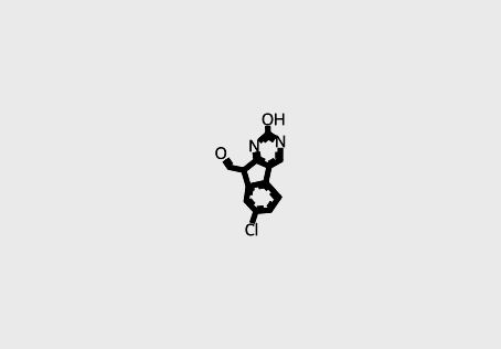 O=CC1c2cc(Cl)ccc2-c2cnc(O)nc21